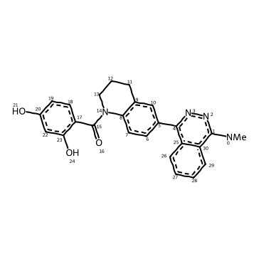 CNc1nnc(-c2ccc3c(c2)CCCN3C(=O)c2ccc(O)cc2O)c2ccccc12